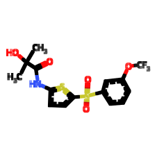 CC(C)(O)C(=O)Nc1ccc(S(=O)(=O)c2cccc(OC(F)(F)F)c2)s1